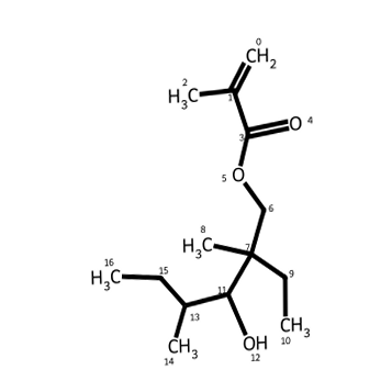 C=C(C)C(=O)OCC(C)(CC)C(O)C(C)CC